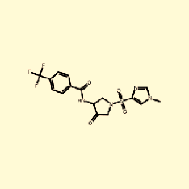 Cn1cnc(S(=O)(=O)N2CC(=O)C(NC(=O)c3ccc(C(F)(F)F)cc3)C2)c1